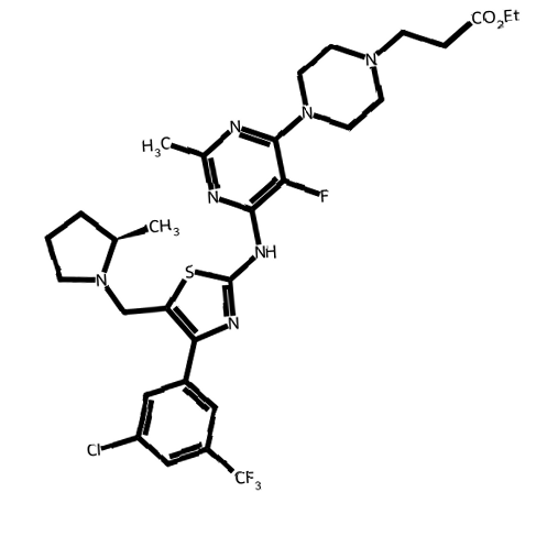 CCOC(=O)CCN1CCN(c2nc(C)nc(Nc3nc(-c4cc(Cl)cc(C(F)(F)F)c4)c(CN4CCC[C@H]4C)s3)c2F)CC1